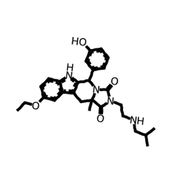 CCOc1ccc2[nH]c3c(c2c1)CC1(C)C(=O)N(CCNCC(C)C)C(=O)N1C3c1cccc(O)c1